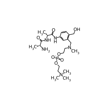 C[C@H](N)C(=O)N[C@@H](C)C(=O)Nc1ccc(CO)c(CN(C)CCOP(=O)([O-])OCC[N+](C)(C)C)c1